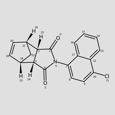 O=C1[C@@H]2[C@H](C(=O)N1c1ccc(Cl)c3ccccc13)[C@@H]1C=C[C@H]2C1